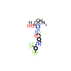 CC(C)(C)N1CCN(C2=NC(=O)/C(=C\c3ccc4c(cnn4Cc4ccc(C(F)(F)F)cc4C(F)(F)F)c3)S2)CC1CO